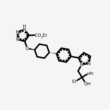 CCCC(O)(CC)Cn1nccc1-c1ccc([C@H]2CC[C@H](Oc3nn[nH]c3C(=O)OCC)CC2)cc1